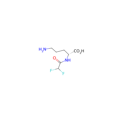 NCCC[C@@H](NC(=O)C(F)F)C(=O)O